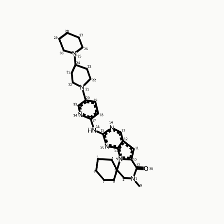 CN1CC2(CCCCC2)n2c(cc3cnc(Nc4ccc(N5CCC(N6CCCCC6)CC5)cn4)nc32)C1=O